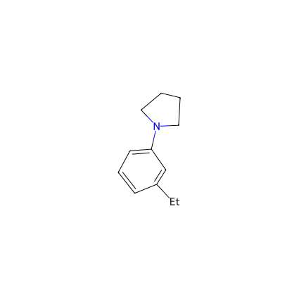 CCc1cccc(N2CCCC2)c1